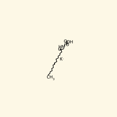 CCCCCCCCC=CCCCCCCCC(=O)CNCCS(=O)(=O)O.[K]